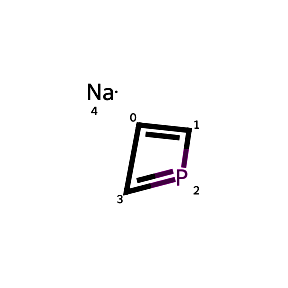 C1=CP=C1.[Na]